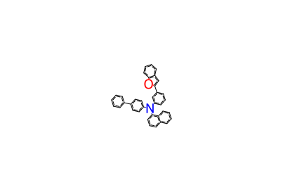 c1ccc(-c2ccc(N(c3cccc(-c4cc5ccccc5o4)c3)c3cccc4ccccc34)cc2)cc1